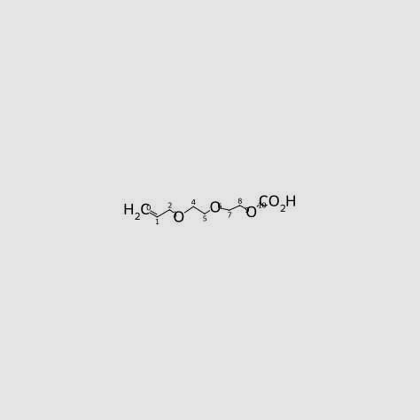 C=CCOCCOCCOC(=O)O